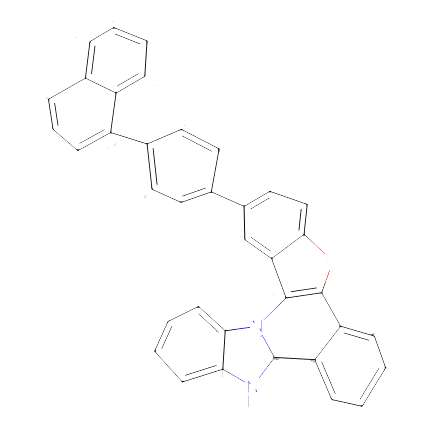 c1ccc2c(c1)NC1c3ccccc3-c3oc4ccc(-c5ccc(-c6cccc7ccccc67)cc5)cc4c3N21